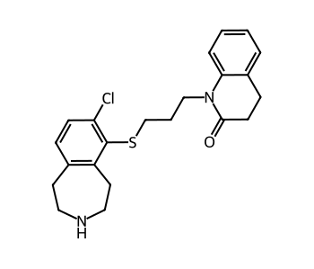 O=C1CCc2ccccc2N1CCCSc1c(Cl)ccc2c1CCNCC2